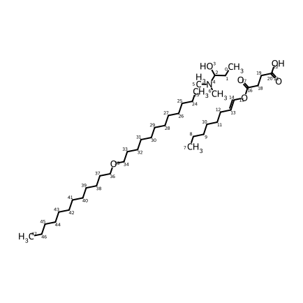 CCC(O)N(C)C.CCCCCCC=COC(=O)CCC(=O)O.CCCCCCCCCCCCOCCCCCCCCCCCC